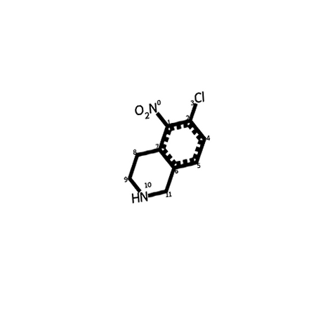 O=[N+]([O-])c1c(Cl)ccc2c1CCNC2